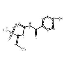 C=C(NC(=O)c1ccc(O)cc1)S/C(=C\N)S(C)(=O)=O